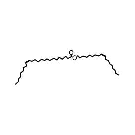 CCCCCCCC/C=C\CCCCCCCCCCCCCC(=O)OCCCCCCCC/C=C\CCCCCCCC